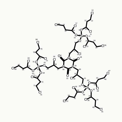 O=c1n(CC(Cl)CO[Si](OC(Cl)CCCl)(OC(Cl)CCCl)OC(Cl)CCCl)c(=O)n(CC(Cl)CO[Si](OC(Cl)CCCl)(OC(Cl)CCCl)OC(Cl)CCCl)c(=O)n1CC(Cl)CO[Si](OC(Cl)CCCl)(OC(Cl)CCCl)OC(Cl)CCCl